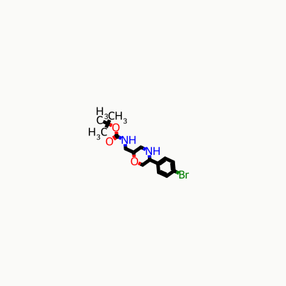 CC(C)(C)OC(=O)NCC1CNC(c2ccc(Br)cc2)CO1